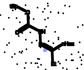 CCCCCC/C(CC)=N\NC(=O)OC(C)(C)C